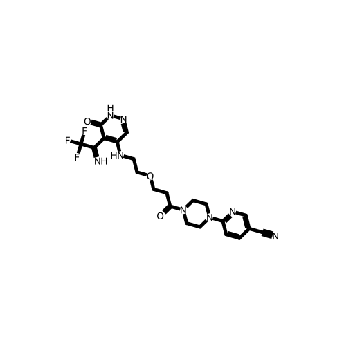 N#Cc1ccc(N2CCN(C(=O)CCOCCNc3cn[nH]c(=O)c3C(=N)C(F)(F)F)CC2)nc1